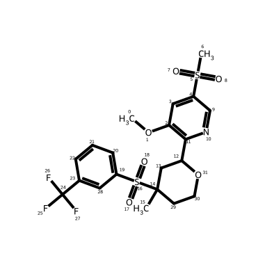 COc1cc(S(C)(=O)=O)cnc1C1CC(C)(S(=O)(=O)c2cccc(C(F)(F)F)c2)CCO1